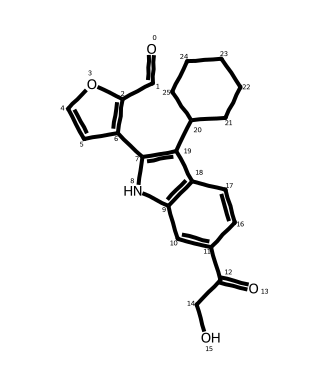 O=Cc1occc1-c1[nH]c2cc(C(=O)CO)ccc2c1C1CCCCC1